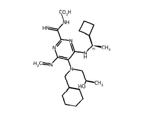 C=Nc1nc(C(=N)NC(=O)O)nc(N[C@H](C)C2CCC2)c1N(CC(C)O)CC1CCCCC1